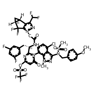 COc1ccc(CN(c2nn(C)c3c(-n4c([C@H](Cc5cc(F)cc(F)c5)NC(=O)Cn5nc(C(F)F)c6c5C(F)(F)[C@@H]5C[C@H]65)nc(OS(=O)(=O)C(F)(F)F)cc4=O)ccc(Cl)c23)S(C)(=O)=O)cc1